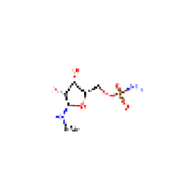 CNN[C@@H]1O[C@H](COS(N)(=O)=O)[C@@H](O)[C@H]1O